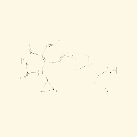 N#CCC(N)C1CCN(c2ccc3c(=O)[nH]c(=O)n(C4CC4)c3c2)C1